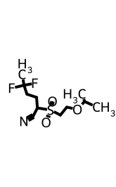 CC(C)OCCS(=O)(=O)C(C#N)CCC(C)(F)F